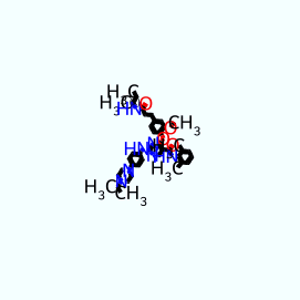 CC[C@@H](C)NC(=O)CCc1ccc(Oc2nc(Nc3ccc(N4CCN(C(C)C)CC4)cc3)ncc2C(=O)Nc2c(C)cccc2C)c(OC)c1